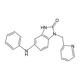 O=c1[nH]c2cc(Nc3ccccc3)ccc2n1Cc1ccccn1